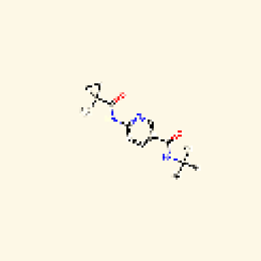 [2H]C([2H])([2H])NC(=O)c1ccc(NC(=O)C2(C(F)(F)F)CC2)nc1